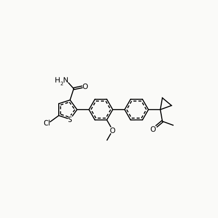 COc1cc(-c2sc(Cl)cc2C(N)=O)ccc1-c1ccc(C2(C(C)=O)CC2)cc1